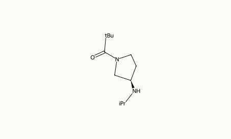 CC(C)N[C@@H]1CCN(C(=O)C(C)(C)C)C1